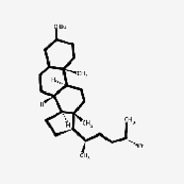 CC(C)COC1CC[C@@]2(C)C(CC[C@H]3[C@@H]4CC[C@H]([C@H](C)CC[C@H](C)C(C)C)[C@@]4(C)CC[C@@H]32)C1